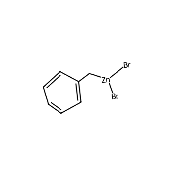 [Br][Zn]([Br])[CH2]c1ccccc1